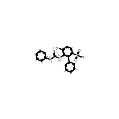 Cc1ccc(S(=O)(=O)O)c(-c2ccccc2)c1NC(=O)Nc1ccccc1